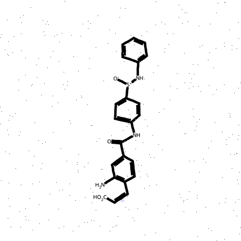 Nc1cc(C(=O)Nc2ccc([S+]([O-])Nc3ccccc3)cc2)ccc1/C=C\C(=O)O